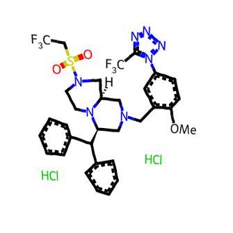 COc1ccc(-n2nnnc2C(F)(F)F)cc1CN1C[C@@H]2CN(S(=O)(=O)CC(F)(F)F)CCN2[C@H](C(c2ccccc2)c2ccccc2)C1.Cl.Cl